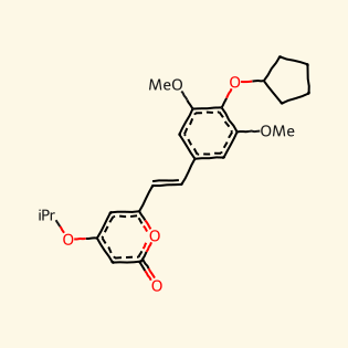 COc1cc(/C=C/c2cc(OC(C)C)cc(=O)o2)cc(OC)c1OC1CCCC1